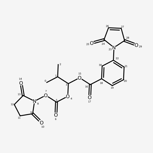 CC(C)C(OC(=O)ON1C(=O)CCC1=O)OC(=O)c1cccc(N2C(=O)C=CC2=O)c1